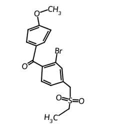 CCS(=O)(=O)Cc1ccc(C(=O)c2ccc(OC)cc2)c(Br)c1